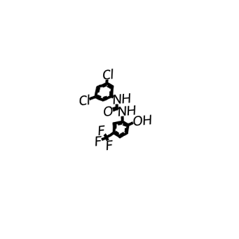 O=C(Nc1cc(Cl)cc(Cl)c1)Nc1cc(C(F)(F)F)ccc1O